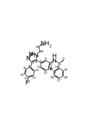 C[C@H](Nc1cc(-c2c(-c3ccc(F)cc3)nnn2CCN)ccn1)c1ccccc1